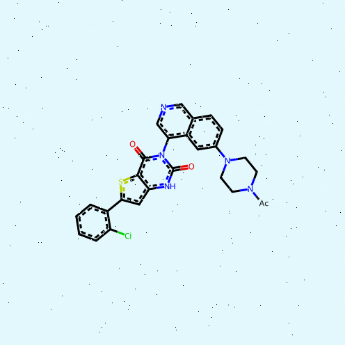 CC(=O)N1CCN(c2ccc3cncc(-n4c(=O)[nH]c5cc(-c6ccccc6Cl)sc5c4=O)c3c2)CC1